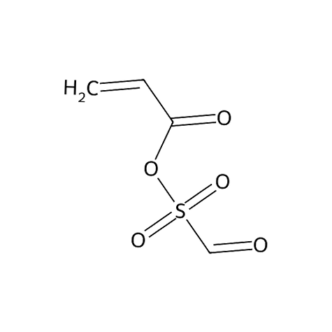 C=CC(=O)OS(=O)(=O)C=O